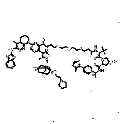 Cc1ncsc1-c1ccc([C@H](C)NC(=O)[C@@H]2C[C@@H](O)CN2C(=O)[C@@H](NC(=O)CCOCCOCCOCCNC(=O)c2nc(N3CCCc4c3nnc(Nc3nc5ccccc5s3)c4C)ccc2-c2cnn(C[C@]34C[C@]5(C)C[C@](C)(C3)C[C@@](OCCN3CCCC3)(C5)C4)c2C)C(C)(C)C)cc1